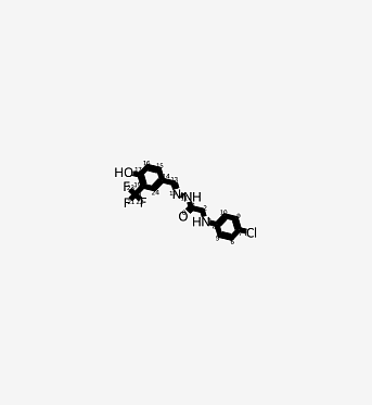 O=C(CNc1ccc(Cl)cc1)NN=Cc1ccc(O)c(C(F)(F)F)c1